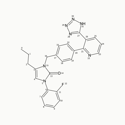 CCCc1cn(-c2ccccc2F)c(=O)n1Cc1ccc(-c2ncccc2-c2nnn[nH]2)cc1